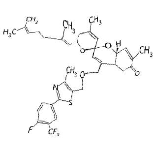 CC(C)=CCC/C(C)=C/[C@@H]1CC(C)=C[C@]2(C=C(COCc3sc(-c4ccc(F)c(C(F)(F)F)c4)nc3C)C3CC(=O)C(C)=C[C@H]3O2)O1